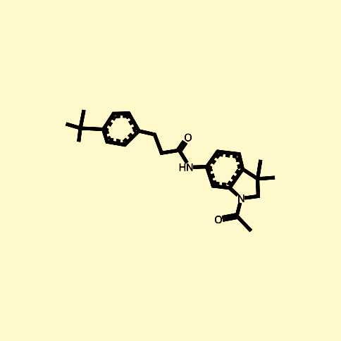 CC(=O)N1CC(C)(C)c2ccc(NC(=O)CCc3ccc(C(C)(C)C)cc3)cc21